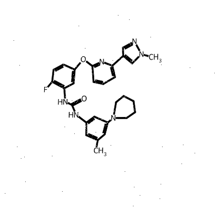 Cc1cc(NC(=O)Nc2cc(Oc3cccc(-c4cnn(C)c4)n3)ccc2F)cc(N2CCCCC2)c1